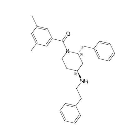 Cc1cc(C)cc(C(=O)N2CC[C@H](NCCc3ccccc3)C[C@H]2Cc2ccccc2)c1